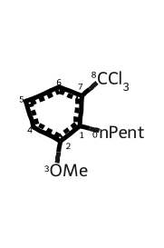 CCCCCc1c(OC)cccc1C(Cl)(Cl)Cl